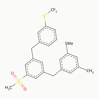 CSc1cc(C)cc(Cc2cc(Cc3cccc(SC(F)(F)F)c3)cc(S(C)(=O)=O)c2)c1